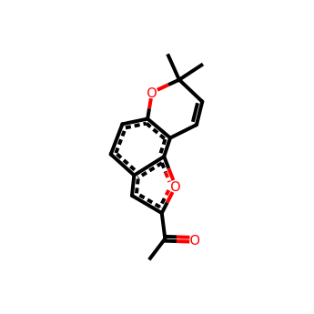 CC(=O)c1cc2ccc3c(c2o1)C=CC(C)(C)O3